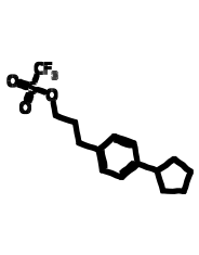 O=S(=O)(OCCCc1ccc(C2CCCC2)cc1)C(F)(F)F